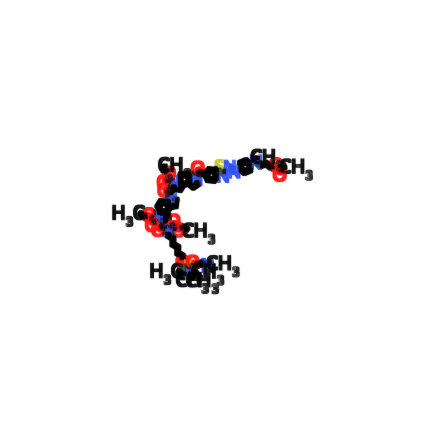 CCOC(=O)N(CCCCCCOP(OC/C=N/C)N(C(C)C)C(C)C)C(=O)c1cc2c3c(ccc2n1C(=O)OCC)N(C(=O)c1cc2c4c(ccc2n1C(=O)OCC)N(C(=O)c1ccc2nc(/N=N/c5ccc(N(C)CCCOC(C)=O)cc5)sc2c1)CC4)CC3